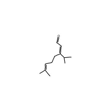 CC(C)=CCC/C(=C\C=O)C(C)C